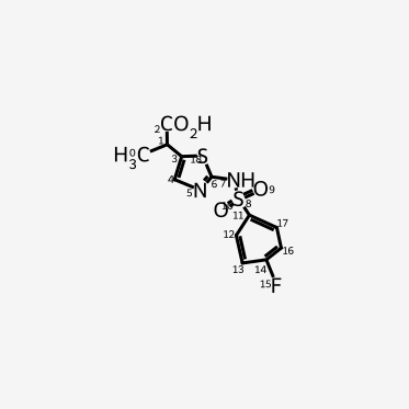 CC(C(=O)O)c1cnc(NS(=O)(=O)c2ccc(F)cc2)s1